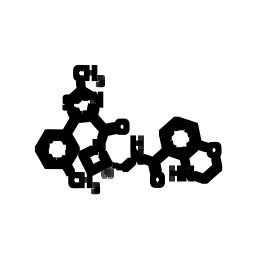 Cc1cccc(-c2sc(C)nc2C(=O)N2CC[C@H]2CNC(=O)c2cccc3c2NCCO3)c1